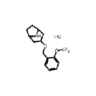 Cl.FC(F)(F)Oc1ccccc1COC1CC2CCC(C1)N2